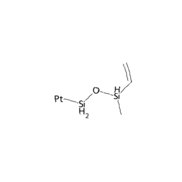 C=C[SiH](C)O[SiH2][Pt]